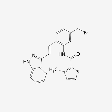 Cc1ccsc1C(=O)Nc1cc(CBr)ccc1/C=C/c1n[nH]c2ccccc12